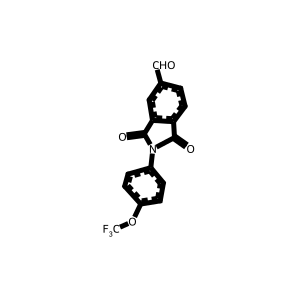 O=Cc1ccc2c(c1)C(=O)N(c1ccc(OC(F)(F)F)cc1)C2=O